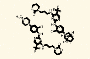 CN1CCN(c2ccc(Nc3ncc(C(F)(F)F)c(NCCCN4CCCOC4=O)n3)c(Cl)c2)CC1.CN1[C@@H]2CC[C@H]1CN(c1ccc(Nc3ncc(C(F)(F)F)c(NCCCN4CCCOC4=O)n3)c(Cl)c1)C2